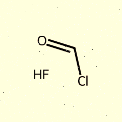 F.O=CCl